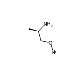 C[C@@H](N)CO[N]